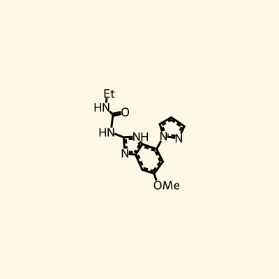 CCNC(=O)Nc1nc2cc(OC)cc(-n3cccn3)c2[nH]1